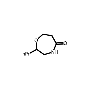 CCCC1CNC(=O)CCO1